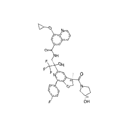 C[C@]1(C(=O)N2CC[C@H](O)C2)COc2c1cc(C(O)(CNC(=O)c1cc(OC3CC3)c3ncccc3c1)C(F)(F)F)nc2-c1ccc(F)cc1